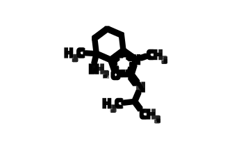 BC1(C)CCCc2c1o/c(=N\C(C)C)n2C